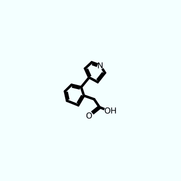 O=C(O)Cc1ccccc1-c1ccncc1